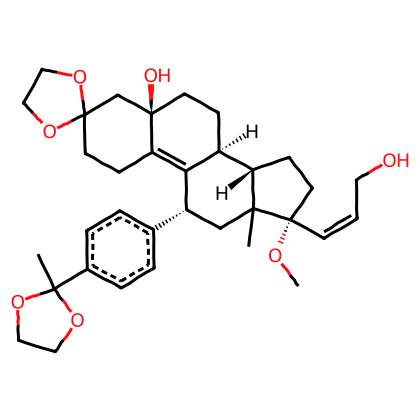 CO[C@@]1(/C=C\CO)CC[C@H]2[C@@H]3CC[C@@]4(O)CC5(CCC4=C3[C@@H](c3ccc(C4(C)OCCO4)cc3)CC21C)OCCO5